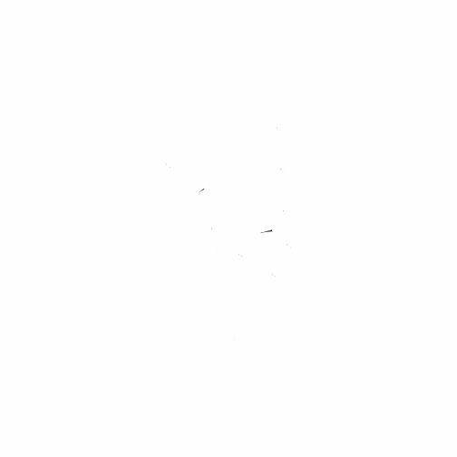 Cc1cc(C(F)(F)F)cc(N2C(=O)N(C[C@H](O)CN(C)C)C[C@H]2c2nccn2-c2ccc3ccn(C)c3n2)n1